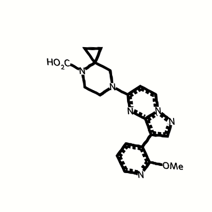 COc1ncccc1-c1cnn2ccc(N3CCN(C(=O)O)C4(CC4)C3)nc12